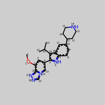 COc1cc(-c2[nH]c3ccc(C4CCNCC4)cc3c2C(C)C)cn2cnnc12